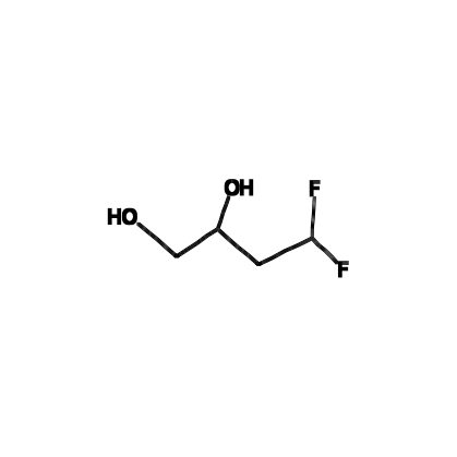 OCC(O)CC(F)F